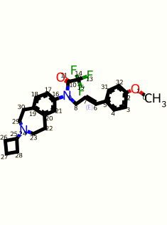 COc1ccc(/C=C/CN(C(=O)C(F)(F)F)c2ccc3c(c2)CCN(C2CCC2)CC3)cc1